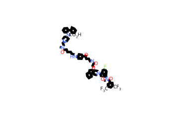 CN(CCN1CCC(N(C(=O)O)c2ccccc2-c2ccccc2)CC1)C(=O)CCCCCNc1ccc(C(=O)CCCN(C)C(=O)CO[C@H]2Cc3ccccc3C23CCN(CC[C@@]2(c4ccc(F)cc4)CN(C(=O)c4cc(C(F)(F)F)cc(C(F)(F)F)c4)CO2)CC3)cc1